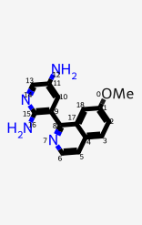 COc1ccc2ccnc(-c3cc(N)cnc3N)c2c1